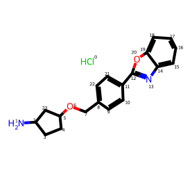 Cl.NC1CCC(OCc2ccc(-c3nc4ccccc4o3)cc2)C1